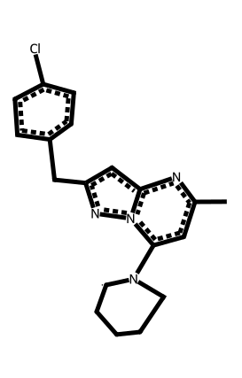 Cc1cc(N2[CH]CCCC2)n2nc(Cc3ccc(Cl)cc3)cc2n1